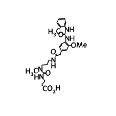 COc1cc(CC(=O)NCCCN(C)C(=O)NCCC(=O)O)ccc1NC(=O)Nc1ccccc1C